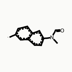 [CH2]c1ccc2cc(N(C)C=O)ccc2c1